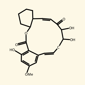 COc1cc(O)c2c(c1)/C=C/CC(O)C(O)C(=O)/C=C\C1CCCCC1OC2=O